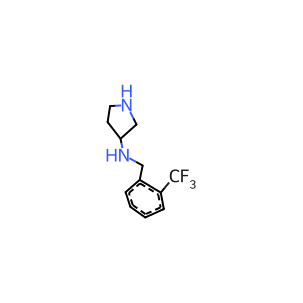 FC(F)(F)c1ccccc1CNC1CCNC1